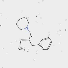 C/C=C(\Cc1ccccc1)CN1CCCCC1